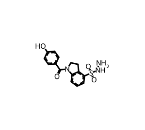 NNS(=O)(=O)c1cccc2c1CCN2C(=O)c1ccc(O)cc1